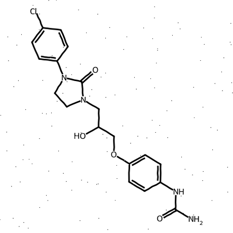 NC(=O)Nc1ccc(OCC(O)CN2CCN(c3ccc(Cl)cc3)C2=O)cc1